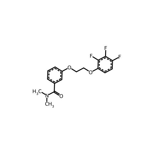 CN(C)C(=O)c1cccc(OCCOc2ccc(F)c(F)c2F)c1